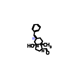 C[C@]12CC/C(=C\c3ccccc3)C[C@@]1(O)CC[C@@H]2C=O